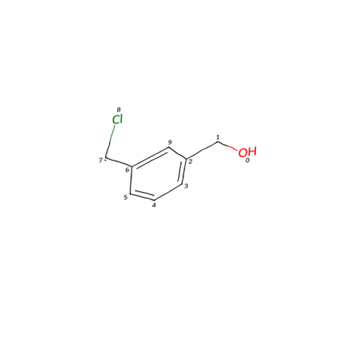 OCc1cccc([CH]Cl)c1